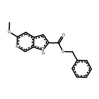 COc1cc2cc(C(=O)OCc3ccccc3)[nH]c2cn1